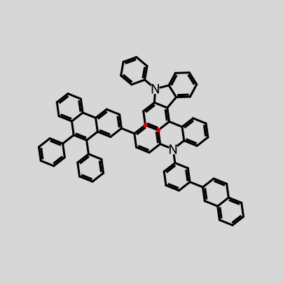 c1ccc(-c2c(-c3ccccc3)c3cc(-c4ccc(N(c5cccc(-c6ccc7ccccc7c6)c5)c5ccccc5-c5cccc6c5c5ccccc5n6-c5ccccc5)cc4)ccc3c3ccccc23)cc1